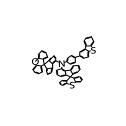 c1ccc2c(c1)Oc1ccccc1C21c2ccccc2-c2c(N(c3ccc(-c4ccc5sc6ccccc6c5c4)cc3)c3cccc4c3-c3ccccc3C43c4ccccc4Sc4ccccc43)cccc21